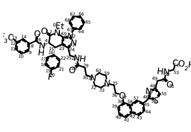 CCN1C(=O)[C@@H](NC(=O)c2cccc(C(F)(F)F)c2)[C@@H](c2ccc(F)cc2)c2c(CNC(=O)CCN3CCN(CCOc4cccc5ccc(-c6nc(CC(=O)NCC(=O)O)cs6)cc45)CC3)nn(-c3ccccc3)c21